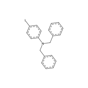 Ic1ccc(N(Cc2ccccc2)Cc2ccccc2)cc1